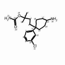 CC(C)(CCC1(c2cccc(Cl)c2)CCC(N)CC1)OC(N)=O